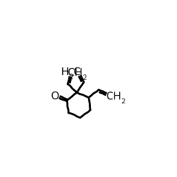 C=CC1CCCC(=O)C1(C=C)C=C